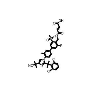 CC(C)(O)c1cn(-c2ccc(-c3cc(F)c(COC(=O)/C=C/C(=O)O)c(S(C)(=O)=O)c3)cc2F)c(C(C)(C)c2c(Cl)cccc2Cl)n1